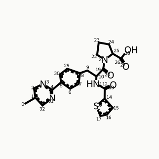 Cc1cnc(-c2ccc(CC(NC(=O)c3cccs3)C(=O)N3CCCC3C(=O)O)cc2)nc1